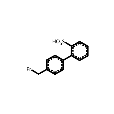 CC(C)Cc1ccc(-c2ccccc2S(=O)(=O)O)cc1